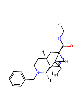 CC(C)CNC(=O)[C@@]12C[C@@H]3CCN(Cc4ccccc4)[C@@H]([C@@H]3C=N1)[C@H]2CC(C)C